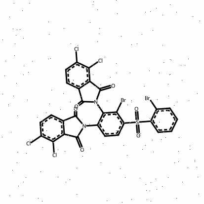 O=C1c2ccc(Cl)c(Cl)c2C(=O)N1c1ccc(S(=O)(=O)c2ccccc2Br)c(Br)c1N1C(=O)c2ccc(Cl)c(Cl)c2C1=O